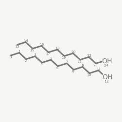 CCCCCCCCCCCCO.CCCCCCCCCCCO